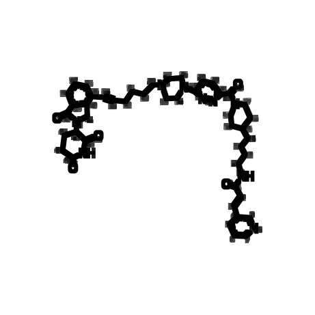 O=C(/C=C/c1cccnc1)NCCCCC1CCN(C(=O)c2ccc(N3CCN(CCCCC#Cc4cccc5c4CN(C4CCC(=O)NC4=O)C5=O)CC3)nn2)CC1